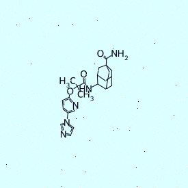 CC(C)(Oc1ccc(-n2ccnc2)cn1)C(=O)NC1C2CC3CC1CC(C(N)=O)(C3)C2